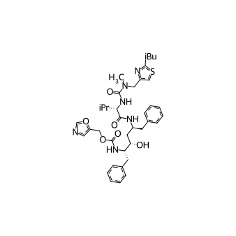 CCC(C)c1nc(CN(C)C(=O)N[C@H](C(=O)N[C@@H](Cc2ccccc2)C[C@H](O)[C@H](Cc2ccccc2)NC(=O)OCc2cnco2)C(C)C)cs1